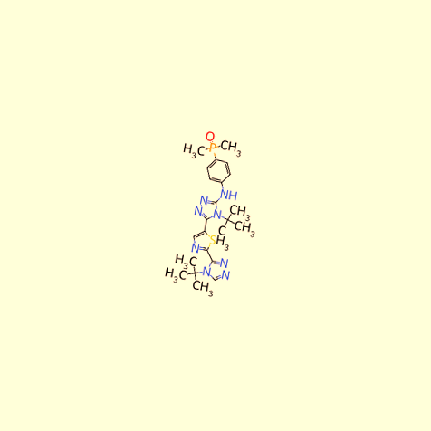 CC(C)(C)n1cnnc1-c1ncc(-c2nnc(Nc3ccc(P(C)(C)=O)cc3)n2C(C)(C)C)s1